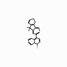 C=C(/C=C1\C(=C/C)C2=C(C=CCC2)C1(C)C)C1=C2C=CC=CC2C(I)C=C1